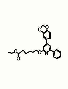 CCOC(=O)CCCCCOc1cc(-c2ccc3c(c2)OCO3)cc(-c2ccccc2)n1